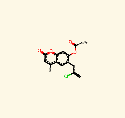 C=C(Cl)Cc1cc2c(C)cc(=O)oc2cc1OC(=O)CCC